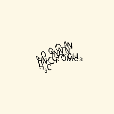 COC[C@@H](C)n1cnnc1-c1cccc(NC(=O)c2cc(NC(=O)C3CC3)c(C)cc2F)n1